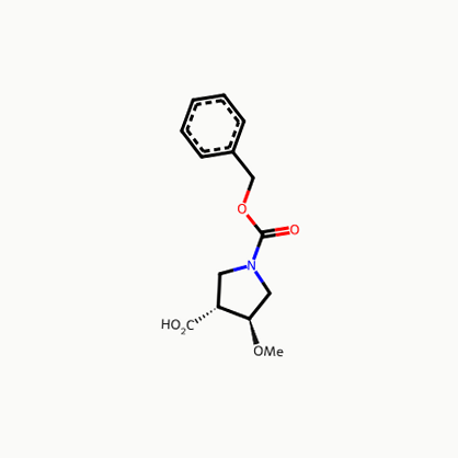 CO[C@@H]1CN(C(=O)OCc2ccccc2)C[C@H]1C(=O)O